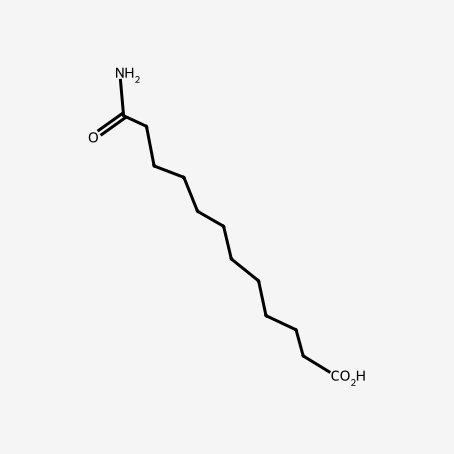 NC(=O)CCCCCCCCCCC(=O)O